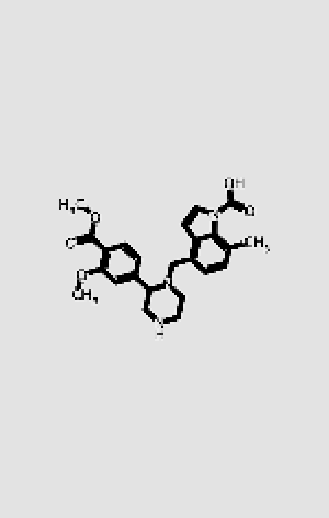 COC(=O)c1ccc(C2CNCCN2Cc2ccc(C)c3c2ccn3C(=O)O)cc1OC